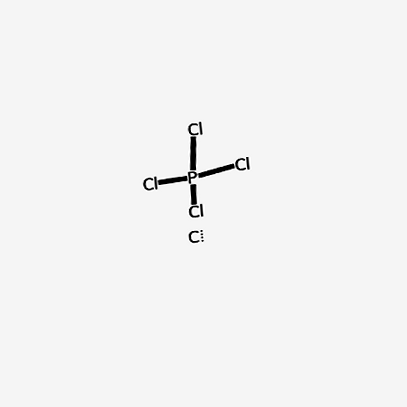 Cl[P](Cl)(Cl)Cl.[C]